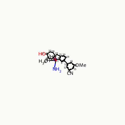 [2H]C1([2H])OC(N)=NC12c1cc(-c3cc(C#N)cc(OC)c3)ccc1C[C@@]21CC[C@H](O)[C@@H](C)C1